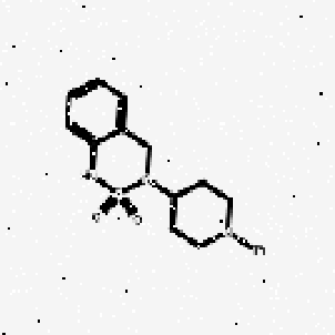 CC(C)N1CCC(N2Cc3ccccc3NS2(=O)=O)CC1